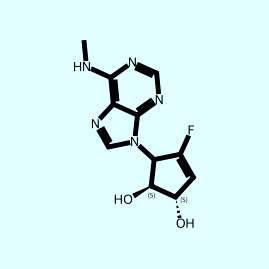 CNc1ncnc2c1ncn2C1C(F)=C[C@H](O)[C@H]1O